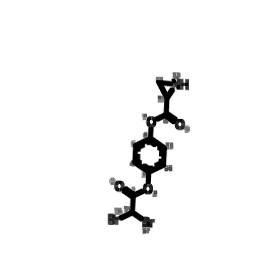 O=C(Oc1ccc(OC(=O)C2CN2)cc1)C(Br)Br